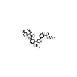 CNC(=O)c1cc(-c2cc(-c3cc(NC(=O)c4ccnc(C5(C#N)CC5)c4)ccc3C)ccn2)ccn1